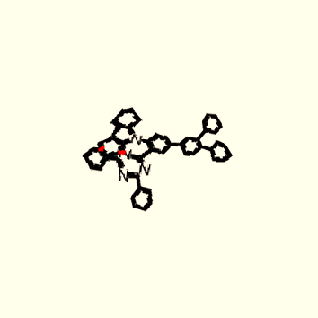 c1ccc(-c2nc(-c3ccccc3)nc(-c3cc(-c4ccc(-c5ccccc5)c(-c5ccccc5)c4)ccc3-n3c4ccccc4c4ccccc43)n2)cc1